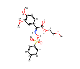 COCCOC(=O)C(=NOS(=O)(=O)c1ccc(C)cc1)c1ccc(OC)c(OC)c1